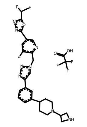 Fc1cc(-c2nnc(C(F)F)o2)cnc1Cn1cc(-c2cccc(C3CCN(C4CNC4)CC3)c2)nn1.O=C(O)C(F)(F)F